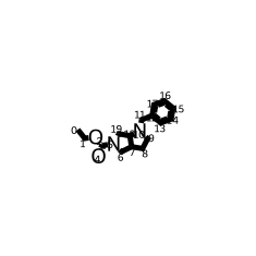 CCOC(=O)N1CC2CCN(Cc3ccccc3)C2C1